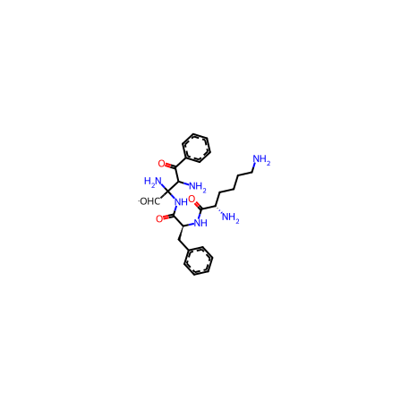 NCCCC[C@H](N)C(=O)N[C@@H](Cc1ccccc1)C(=O)NC(N)([C]=O)C(N)C(=O)c1ccccc1